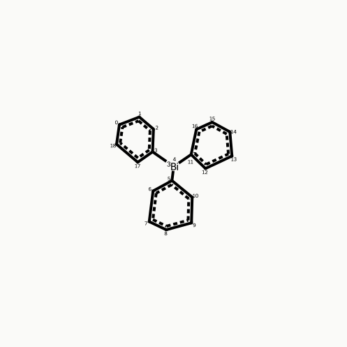 c1cc[c]([3Bi]([c]2ccccc2)[c]2ccccc2)cc1